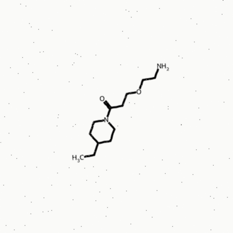 CCC1CCN(C(=O)CCOCCN)CC1